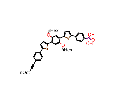 CCCCCCCCC#Cc1ccc(-c2ccc(-c3cc(OCCCCCC)c(-c4ccc(-c5ccc(P(=O)(O)O)cc5)s4)cc3OCCCCCC)s2)cc1